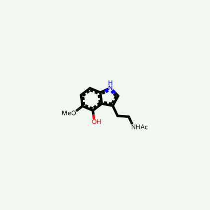 COc1ccc2[nH]cc(CCNC(C)=O)c2c1O